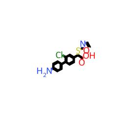 Nc1ccc(-c2ccc(C(Sc3ncco3)C(=O)O)cc2Cl)cc1